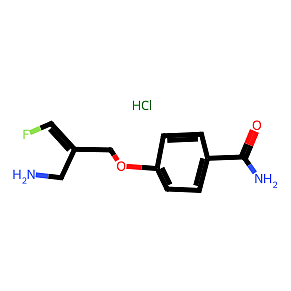 Cl.NC/C(=C\F)COc1ccc(C(N)=O)cc1